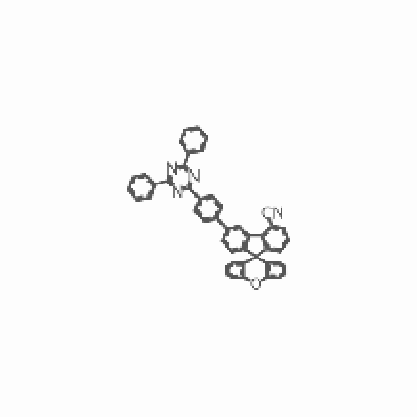 N#Cc1cccc2c1-c1cc(-c3ccc(-c4nc(-c5ccccc5)nc(-c5ccccc5)n4)cc3)ccc1C21c2ccccc2Oc2ccccc21